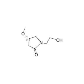 CO[C@H]1CC(=O)N(CCO)C1